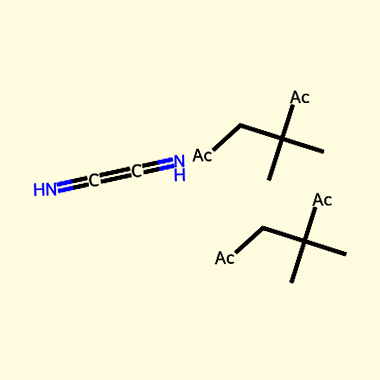 CC(=O)CC(C)(C)C(C)=O.CC(=O)CC(C)(C)C(C)=O.N=C=C=N